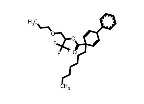 CCCCCCCC1(C(=O)OC(COCCC)C(F)(F)F)C=CC(c2ccccc2)C=C1